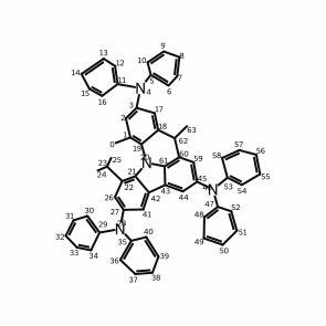 Cc1cc(N(c2ccccc2)c2ccccc2)cc2c1-n1c3c(C(C)C)cc(N(c4ccccc4)c4ccccc4)cc3c3cc(N(c4ccccc4)c4ccccc4)cc(c31)C2C